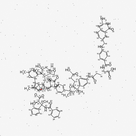 CC(=O)O[C@H]1C(=O)[C@@]2(C)[C@H]([C@H](OC(=O)c3ccc([Si](C)(C)O[Si](C)(CCCC(=O)O)c4ccc(NC(=O)CC[C@H](NC(=O)c5ccc(NCc6cnc7nc(N)[nH]c(=O)c7n6)cc5)C(=O)O)cc4)cc3)[C@]3(O)C[C@H](OC(=O)[C@H](O)C(C)(NC(=O)c4ccccc4)c4ccccc4)C(C)=C1C3(C)C)[C@]1(OC(C)=O)CO[C@@H]1C[C@@H]2O